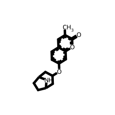 Cc1cc2ccc(OC3CC4CCC(C3)N4)cc2oc1=O